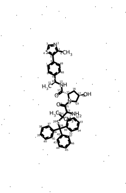 Cc1ncsc1-c1ccc([C@H](C)NC(=O)[C@@H]2C[C@@H](O)CN2C(=O)C(N)C(C)(C)SC(c2ccccc2)(c2ccccc2)c2ccccc2)cc1